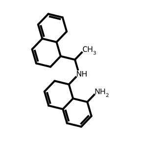 CC(NC1CC=CC2=CC=CC(N)C21)C1CC=CC2=CC=CCC21